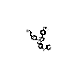 CC(C)CCN1CCC(N(Cc2ccc(N(C)c3ccncc3)cc2)c2nccc(-c3ccc(C(F)(F)F)cc3)n2)CC1